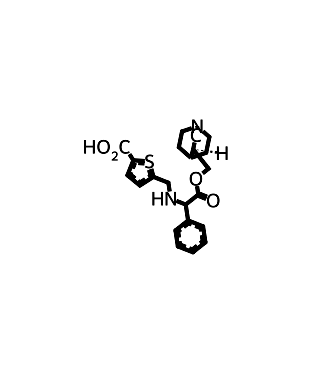 O=C(O)c1ccc(CNC(C(=O)OC[C@@H]2CN3CCC2CC3)c2ccccc2)s1